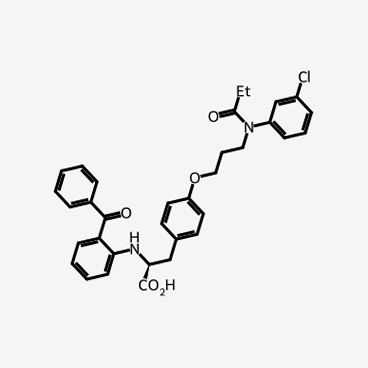 CCC(=O)N(CCCOc1ccc(C[C@H](Nc2ccccc2C(=O)c2ccccc2)C(=O)O)cc1)c1cccc(Cl)c1